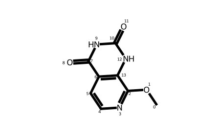 COc1nccc2c(=O)[nH]c(=O)[nH]c12